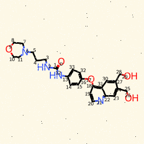 O=C(NCCCN1CCOCC1)Nc1ccc(Oc2ccnc3cc(CO)c(CO)cc23)cc1